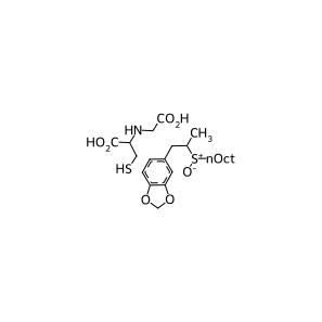 CCCCCCCC[S+]([O-])C(C)Cc1ccc2c(c1)OCO2.O=C(O)CNC(CS)C(=O)O